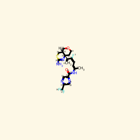 C=C(/C(F)=C\C=C(/C)NC(=O)c1cnc(C(F)F)cn1)[C@]12CCOC[C@H]1CSC(N)=N2